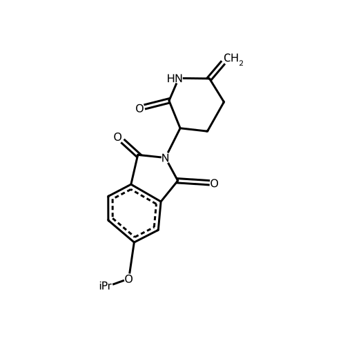 C=C1CCC(N2C(=O)c3ccc(OC(C)C)cc3C2=O)C(=O)N1